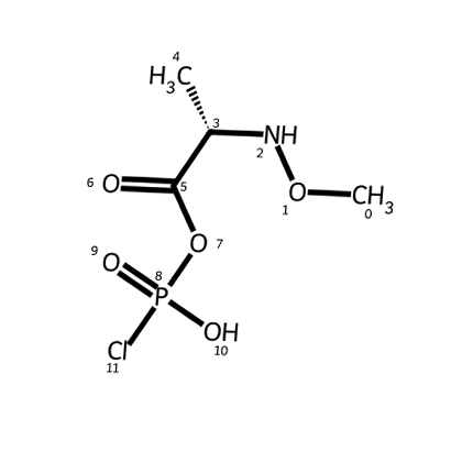 CON[C@@H](C)C(=O)OP(=O)(O)Cl